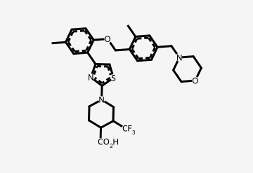 Cc1ccc(OCc2ccc(CN3CCOCC3)cc2C)c(-c2csc(N3CCC(C(=O)O)C(C(F)(F)F)C3)n2)c1